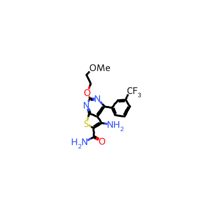 COCCOc1nc(-c2cccc(C(F)(F)F)c2)c2c(N)c(C(N)=O)sc2n1